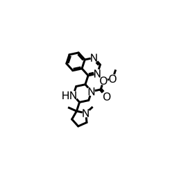 COOC(=O)N1CC(C2(C)CCCN2C)NCC1c1ncnc2ccccc12